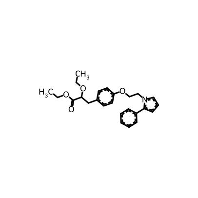 CCOC(=O)C(Cc1ccc(OCCn2cccc2-c2ccccc2)cc1)OCC